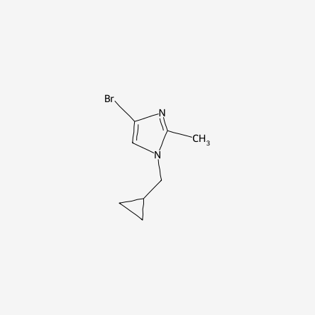 Cc1nc(Br)cn1CC1CC1